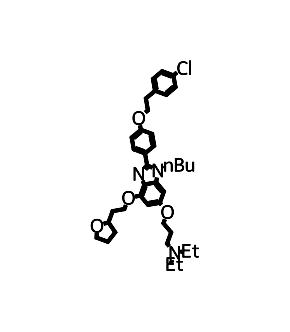 CCCCn1c(-c2ccc(OCCc3ccc(Cl)cc3)cc2)nc2c(OCCC3CCCO3)cc(OCCCN(CC)CC)cc21